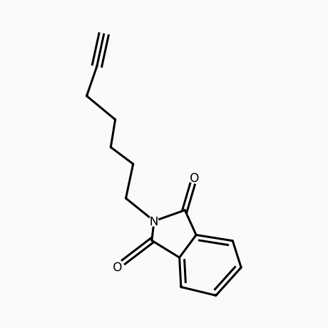 C#CCCCCCN1C(=O)c2ccccc2C1=O